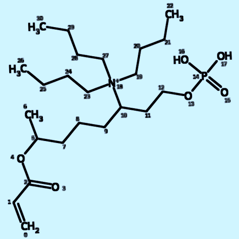 C=CC(=O)OC(C)CCCC(CCOP(=O)(O)O)[N+](CCCC)(CCCC)CCCC